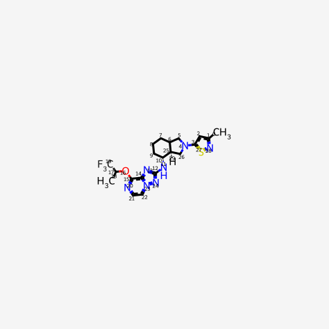 Cc1cc(N2CC3CCC[C@@H](Nc4nc5c(OC(C)C(F)(F)F)nccn5n4)[C@@H]3C2)sn1